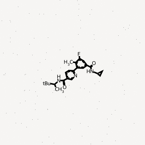 Cc1c(F)cc(C(=O)NC2CC2)cc1-c1ccc(C(=O)NC(C)C(C)(C)C)cn1